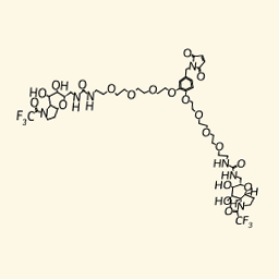 O=C(NCCOCCOCCOCCOc1ccc(CN2C(=O)C=CC2=O)cc1OCCOCCOCCOCCNC(=O)NC[C@H]1OC2CCN(C(=O)C(F)(F)F)C2[C@@H](O)[C@H]1O)NC[C@H]1O[C@@H]2CCN(C(=O)C(F)(F)F)[C@@H]2[C@@H](O)[C@H]1O